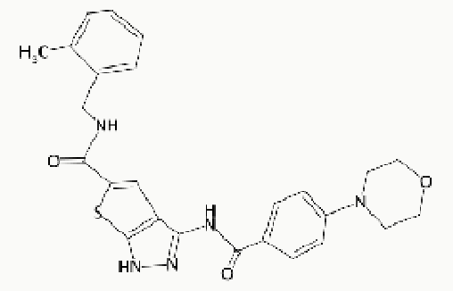 Cc1ccccc1CNC(=O)c1cc2c(NC(=O)c3ccc(N4CCOCC4)cc3)n[nH]c2s1